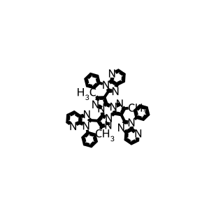 Cc1nn2c(c1-c1nc3cccnc3n1-c1ccccc1)n1nc(C)c(-c3nc4cccnc4n3-c3ccccc3)c1n1nc(C)c(-c3nc4cccnc4n3-c3ccccc3)c21